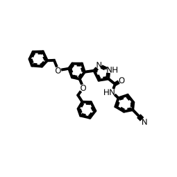 N#Cc1ccc(NC(=O)c2cc(-c3ccc(OCc4ccccc4)cc3OCc3ccccc3)n[nH]2)cc1